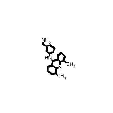 Cc1cccc2c(Nc3cccc(CN)c3)c3cccc(C)c3nc12